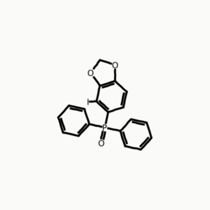 O=P(c1ccccc1)(c1ccccc1)c1ccc2c(c1I)OCO2